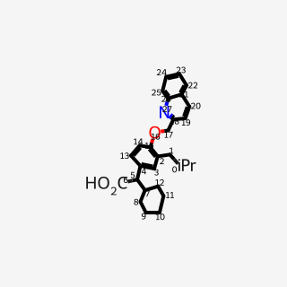 CC(C)Cc1cc(C(C(=O)O)C2CCCCC2)ccc1OCc1ccc2ccccc2n1